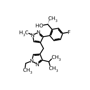 CCn1cc(Cc2cn(C)nc2-c2ccc(F)cc2[C@@H](C)O)c(C(C)C)n1